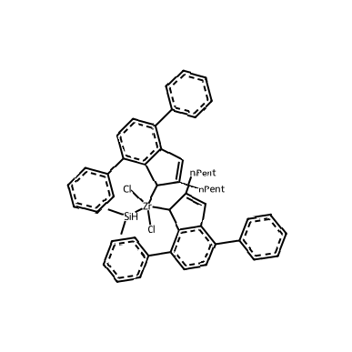 CCCCCC1=Cc2c(-c3ccccc3)ccc(-c3ccccc3)c2[CH]1[Zr]([Cl])([Cl])([CH]1C(CCCCC)=Cc2c(-c3ccccc3)ccc(-c3ccccc3)c21)[SiH](C)C